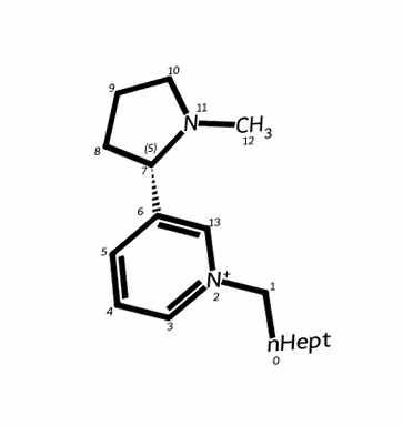 CCCCCCCC[n+]1cccc([C@@H]2CCCN2C)c1